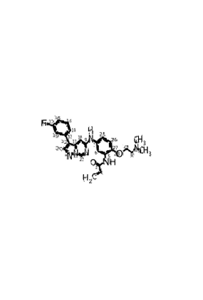 C=CC(=O)Nc1cc(Nc2cc3c(-c4cccc(F)c4)cnn3cn2)ccc1OCCN(C)C